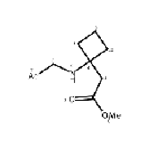 COC(=O)CC1(NCC(C)=O)CCC1